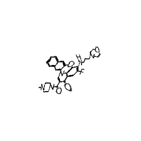 CN1CCN(C(=O)c2cn3c4c(c(NCCCN5CCOCC5)c(F)cc4c2=O)Oc2cc4ccccc4cc2-3)CC1